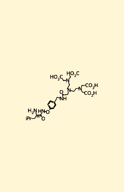 CC(C)C[C@@H](N)C(=O)NOc1ccc(CNC(=O)CN(CCN(CC(=O)O)CC(=O)O)CCN(CC(=O)O)CC(=O)O)cc1